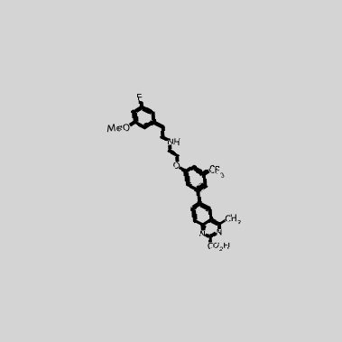 COc1cc(F)cc(CCNCCOc2cc(-c3ccc4nc(C(=O)O)nc(C)c4c3)cc(C(F)(F)F)c2)c1